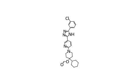 O=COC1(C2CCCCC2)CCN(c2ccc(-c3nnc(-c4cccc(Cl)c4)[nH]3)cn2)CC1